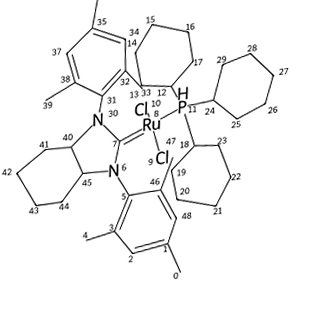 Cc1cc(C)c(N2[C](=[Ru]([Cl])([Cl])[PH](C3CCCCC3)(C3CCCCC3)C3CCCCC3)N(c3c(C)cc(C)cc3C)C3CCCCC32)c(C)c1